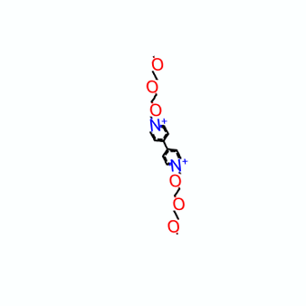 COCCOCCOC[n+]1ccc(-c2cc[n+](COCCOCCOC)cc2)cc1